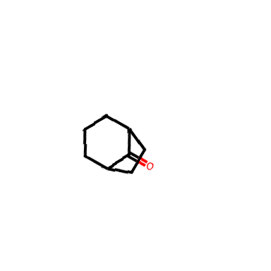 O=C1C2CCCC1CC2